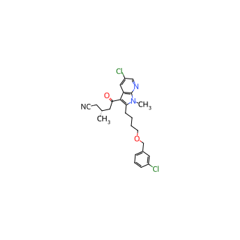 C[C@H](CC#N)CC(=O)c1c(CCCCOCc2cccc(Cl)c2)n(C)c2ncc(Cl)cc12